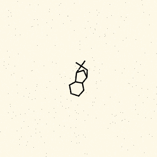 CC1(C)CC2CC1C1CCCCC21